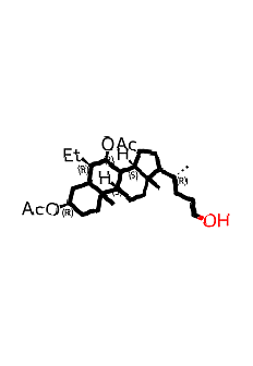 CC[C@@H]1C2C[C@H](OC(C)=O)CCC2(C)[C@H]2CCC3(C)C([C@H](C)CCCO)CC[C@H]3C2[C@@H]1OC(C)=O